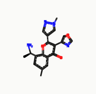 Cc1cc([C@@H](C)N)c2oc(-c3cnn(C)c3)c(-c3cocn3)c(=O)c2c1